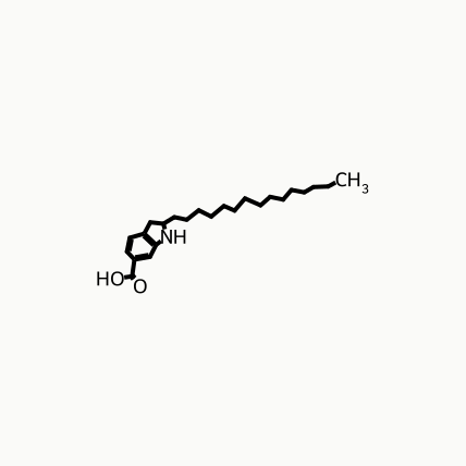 CCCCCCCCCCCCCCCC1Cc2ccc(C(=O)O)cc2N1